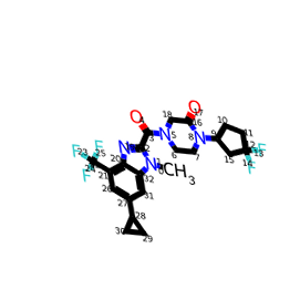 Cn1c(C(=O)N2CCN(C3CCC(F)(F)C3)C(=O)C2)nc2c(C(F)(F)F)cc(C3CC3)cc21